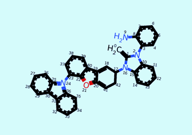 C=C1N(c2ccccc2N)c2ccccc2N1C1C=c2c(oc3c(-n4c5ccccc5c5ccccc54)cccc23)=CC1